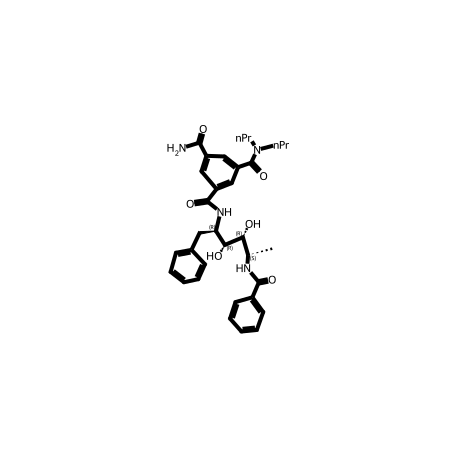 CCCN(CCC)C(=O)c1cc(C(N)=O)cc(C(=O)N[C@H](Cc2ccccc2)[C@@H](O)[C@H](O)[C@H](C)NC(=O)c2ccccc2)c1